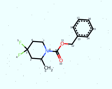 [CH2]C1CC(F)(F)CCN1C(=O)OCc1ccccc1